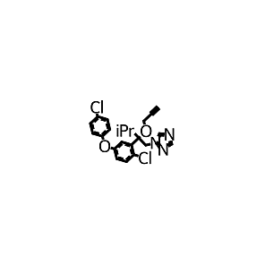 C#CCOC(Cn1cncn1)(c1cc(Oc2ccc(Cl)cc2)ccc1Cl)C(C)C